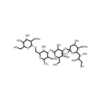 CC(=O)NC1[C@H](OCC2O[C@H](C)C(NC(C)=O)[C@@H](O[C@@H]3OC(CO)[C@H](O)[C@H](O[C@]4(C(=O)O)C[C@@H](O)[C@@H](NC(C)=O)C([C@H](O)[C@H](O)CO)O4)C3O)[C@H]2O)OC(CO)[C@@H](O)[C@@H]1O